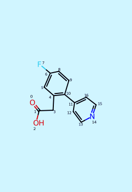 O=C(O)Cc1cc(F)ccc1-c1ccncc1